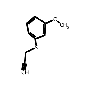 C#CCSc1cccc(OC)c1